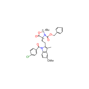 COc1ccc2c(c1)c(C)c(CC[C@H]1C(=O)O[C@H](C(C)(C)C)N1C(=O)OCc1ccccc1)n2C(=O)c1ccc(Cl)cc1